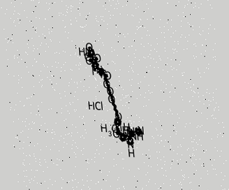 C[C@@H](NC(=O)c1cccc(NC2(c3nnc(-c4ccncc4)[nH]3)CCNCC2)c1)c1ccc(OCCCCCCOCCOCCOCCC(=O)N2CCN(c3cc4c(cc3F)C(=O)N(C3CCC(=O)NC3=O)C4=O)CC2)cc1.Cl